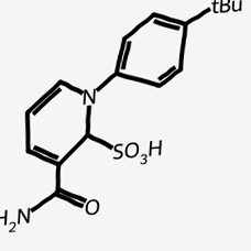 CC(C)(C)c1ccc(N2C=CC=C(C(N)=O)C2S(=O)(=O)O)cc1